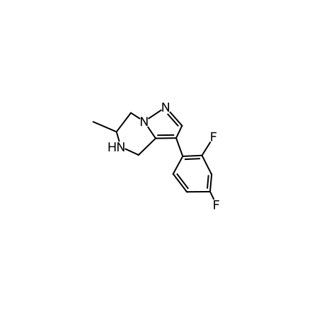 CC1Cn2ncc(-c3ccc(F)cc3F)c2CN1